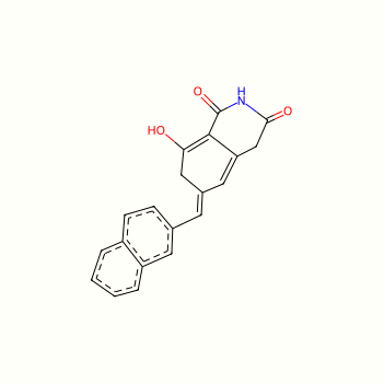 O=C1CC2=CC(=Cc3ccc4ccccc4c3)CC(O)=C2C(=O)N1